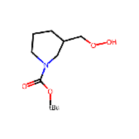 CC(C)(C)OC(=O)N1CCCC(COO)C1